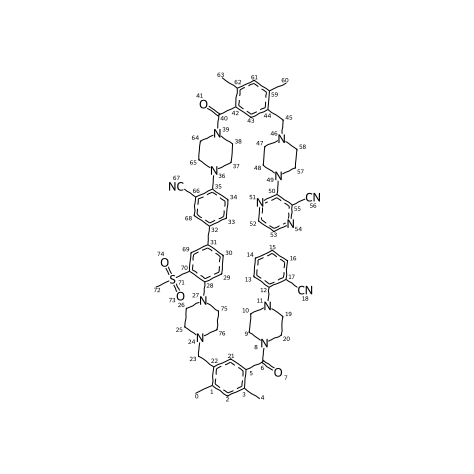 Cc1cc(C)c(C(=O)N2CCN(c3ccccc3C#N)CC2)cc1CN1CCN(c2ccc(-c3ccc(N4CCN(C(=O)c5cc(CN6CCN(c7nccnc7C#N)CC6)c(C)cc5C)CC4)c(C#N)c3)cc2S(C)(=O)=O)CC1